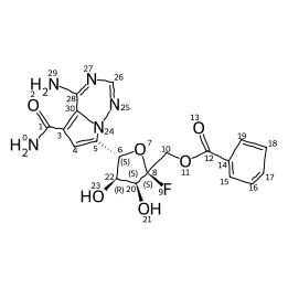 NC(=O)c1cc([C@@H]2O[C@](F)(COC(=O)c3ccccc3)[C@@H](O)[C@H]2O)n2ncnc(N)c12